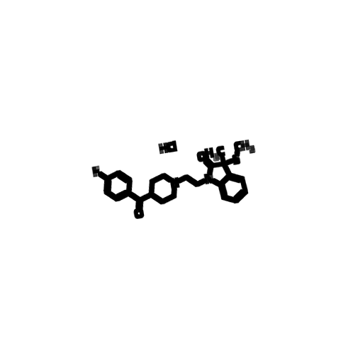 CSC1(C)C(=O)N(CCN2CCC(C(=O)c3ccc(F)cc3)CC2)c2ccccc21.Cl